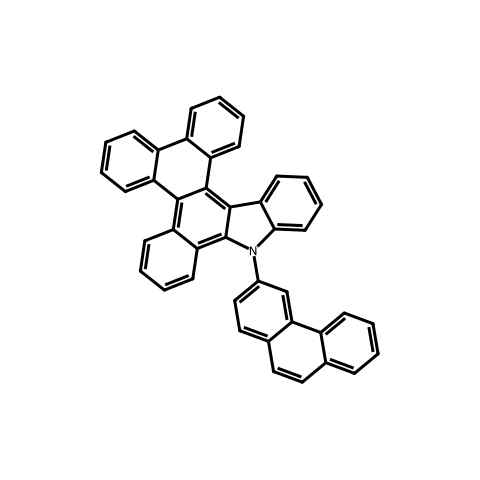 c1ccc2c(c1)ccc1ccc(-n3c4ccccc4c4c5c6ccccc6c6ccccc6c5c5ccccc5c43)cc12